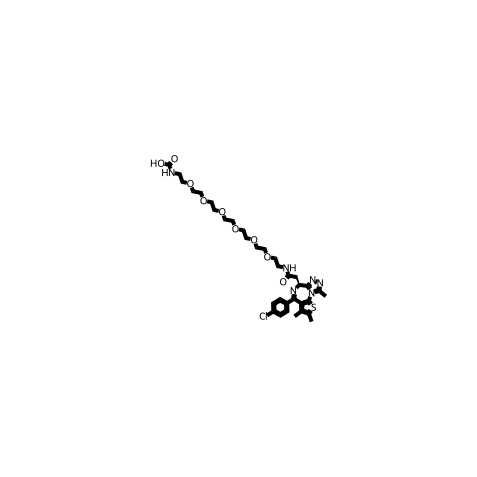 Cc1sc2c(c1C)C(c1ccc(Cl)cc1)=N[C@@H](CC(=O)NCCOCCOCCOCCOCCOCCOCCNC(=O)O)c1nnc(C)n1-2